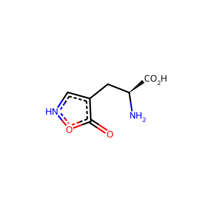 N[C@@H](Cc1c[nH]oc1=O)C(=O)O